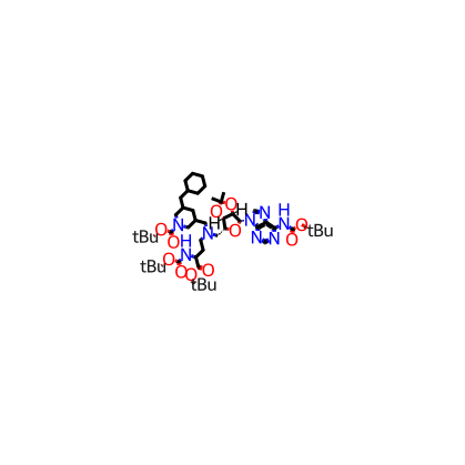 CC(C)(C)OC(=O)Nc1ncnc2c1ncn2[C@@H]1O[C@H](CN(CCC(NC(=O)OC(C)(C)C)C(=O)OC(C)(C)C)CC2CC(CC3CCCCC3)CN(C(=O)OC(C)(C)C)C2)[C@H]2OC(C)(C)O[C@H]21